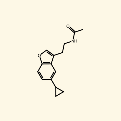 CC(=O)NCCc1coc2ccc(C3CC3)cc12